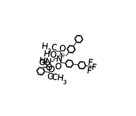 COC(=O)c1ccccc1S(=O)(=O)NCCN(C(=O)c1ccc(-c2ccc(C(F)(F)F)cc2)cc1)[C@@H](Cc1ccc(-c2ccccc2)cc1)C(=O)C(C)O